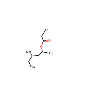 CCC(C)CC(CC(C)OC(=O)CC(C)=O)OC(C)=O